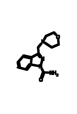 NC(=O)n1nc(CN2CCOCC2)c2cc[c]cc21